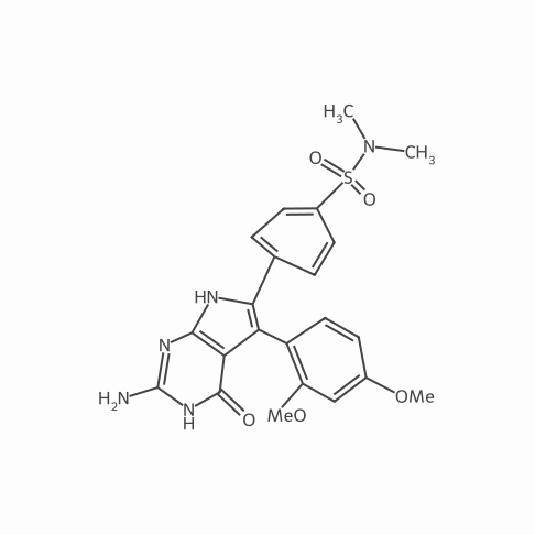 COc1ccc(-c2c(-c3ccc(S(=O)(=O)N(C)C)cc3)[nH]c3nc(N)[nH]c(=O)c23)c(OC)c1